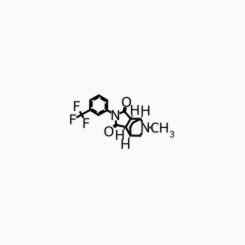 CN1C[C@@H]2CC[C@H]1[C@@H]1C(=O)N(c3cccc(C(F)(F)F)c3)C(=O)[C@H]21